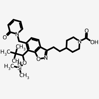 C[SiH](C)OC(c1c(Cn2ccccc2=O)ccc2c(CCC3CCN(C(=O)O)CC3)noc12)C(C)(C)C